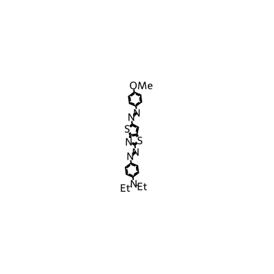 CCN(CC)c1ccc(N=Nc2nc3sc(N=Nc4ccc(OC)cc4)cc3s2)cc1